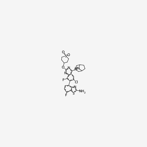 Nc1nc2c(-c3c(Cl)cc4c(N5CC6CCC(C5)N6)nc(OC5CCS(=O)(=O)CC5)nc4c3F)ccc(F)c2s1